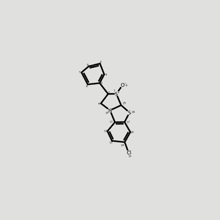 [O-][S+]1C(c2ccccc2)CN2c3ccc(Cl)cc3SC21